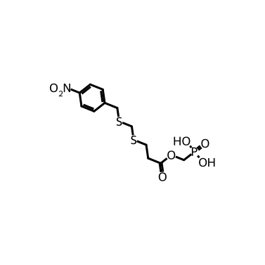 O=C(CCSCSCc1ccc([N+](=O)[O-])cc1)OCP(=O)(O)O